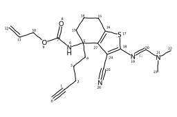 C#CCCCC1(NC(=O)OCC=C)CCCc2sc(/N=C/N(C)C)c(C#N)c21